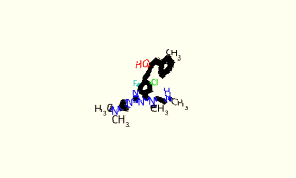 CNCCN(C)c1nc(N2CC(N(C)C)C2)nc2c(F)c(/C=C/C(O)=C\c3ccccc3C)c(Cl)cc12